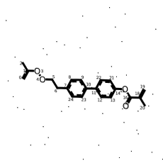 C=C(C)OOCCc1ccc(-c2ccc(OC(=O)C(=C)C)cc2)cc1